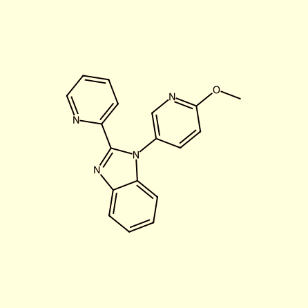 COc1ccc(-n2c(-c3ccccn3)nc3ccccc32)cn1